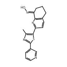 Cc1nc(-c2cccnc2)sc1-c1ccc2c(n1)/C(=N/O)CCC2